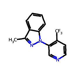 Cc1nn(-c2cnccc2C(F)(F)F)c2ccccc12